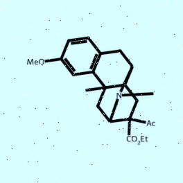 CCOC(=O)C1(C(C)=O)CC2C3Cc4ccc(OC)cc4C2(C)CC1N3C